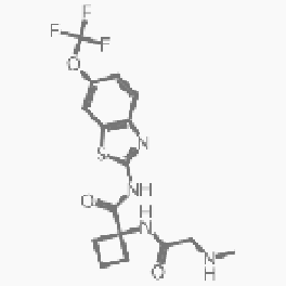 CNCC(=O)NC1(C(=O)Nc2nc3ccc(OC(F)(F)F)cc3s2)CCC1